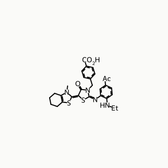 CCNc1ccc(C(C)=O)cc1/N=C1/S/C(=C2\SC3=C(CCCC3)N2C)C(=O)N1Cc1ccc(C(=O)O)cc1